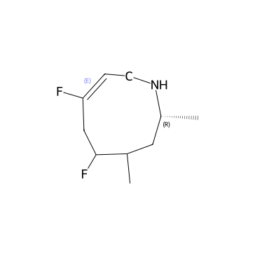 CC1C[C@@H](C)NC/C=C(/F)CC1F